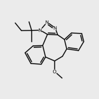 CCC(C)(C)n1nnc2c1-c1ccccc1C(OC)Cc1ccccc1-2